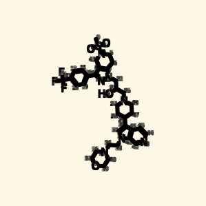 CS(=O)(=O)N1CCc2c(c(-c3ccc(C(F)(F)F)cc3)nn2CC(O)CN2CCC(c3cn(CCN4CCOCC4)c4cnccc34)CC2)C1